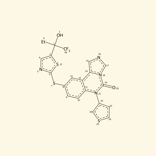 CCC(O)(c1cnc(Sc2ccc3c(c2)c2cncn2c(=O)n3-c2ccsc2)s1)C(F)(F)F